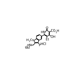 CCc1c(-c2ccc3c(c2)c(F)c(CNC(C)(C)C)n3C)[nH]c(=O)c(C(=O)O)c1O.Cl